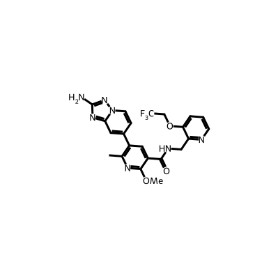 COc1nc(C)c(-c2ccn3nc(N)nc3c2)cc1C(=O)NCc1ncccc1OCC(F)(F)F